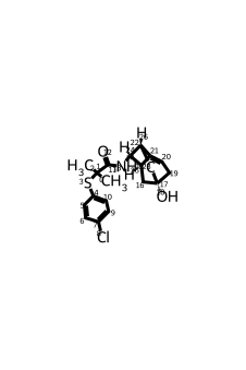 CC(C)(Sc1ccc(Cl)cc1)C(=O)N[C@@H]1[C@@H]2C[C@]3(O)CC=C2[C@@H]1C3